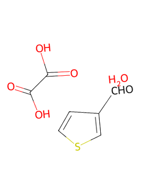 O.O=C(O)C(=O)O.O=Cc1ccsc1